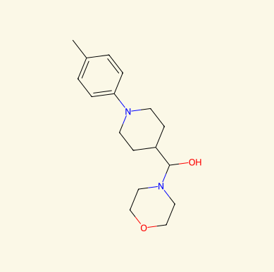 Cc1ccc(N2CCC(C(O)N3CCOCC3)CC2)cc1